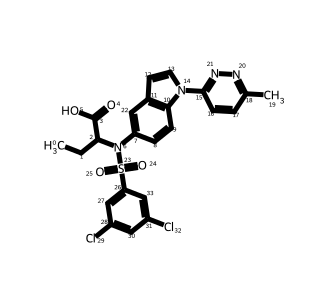 CCC(C(=O)O)N(c1ccc2c(ccn2-c2ccc(C)nn2)c1)S(=O)(=O)c1cc(Cl)cc(Cl)c1